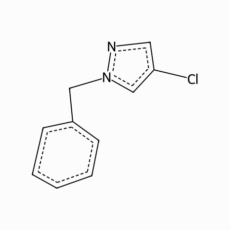 Clc1cnn(Cc2ccccc2)c1